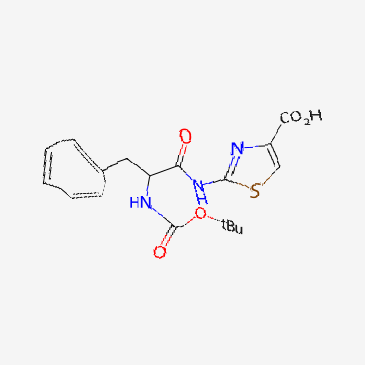 CC(C)(C)OC(=O)NC(Cc1ccccc1)C(=O)Nc1nc(C(=O)O)cs1